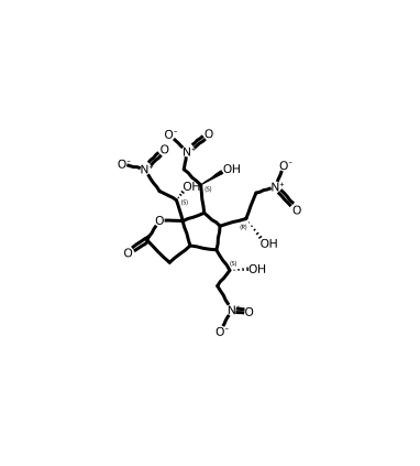 O=C1CC2C([C@H](O)C[N+](=O)[O-])C([C@@H](O)C[N+](=O)[O-])C([C@H](O)C[N+](=O)[O-])C2([C@@H](O)C[N+](=O)[O-])O1